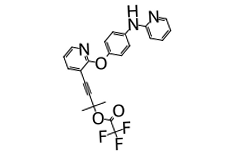 CC(C)(C#Cc1cccnc1Oc1ccc(Nc2ccccn2)cc1)OC(=O)C(F)(F)F